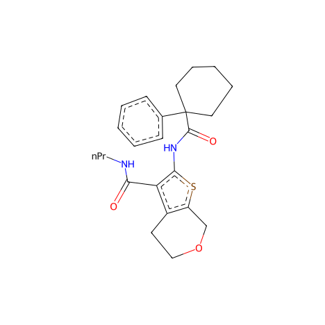 CCCNC(=O)c1c(NC(=O)C2(c3ccccc3)CCCCC2)sc2c1CCOC2